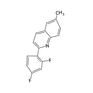 Cc1ccc2nc(-c3ccc(F)cc3F)ccc2c1